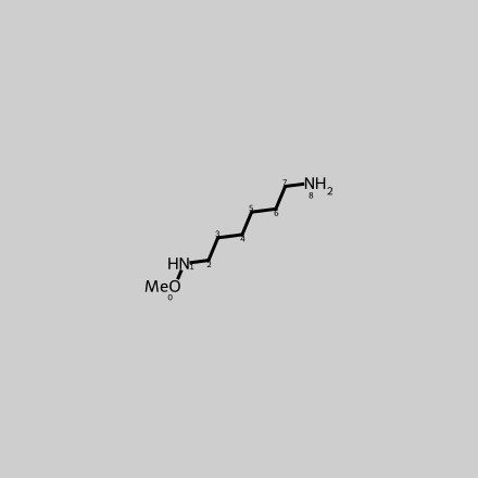 CONCCCCCCN